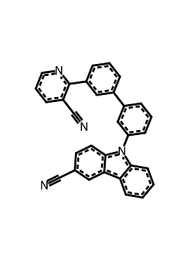 N#Cc1ccc2c(c1)c1ccccc1n2-c1cccc(-c2cccc(-c3ncccc3C#N)c2)c1